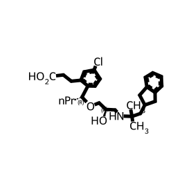 CCC[C@@H](OC[C@H](O)CNC(C)(C)CC1Cc2ccccc2C1)c1ccc(Cl)cc1CCC(=O)O